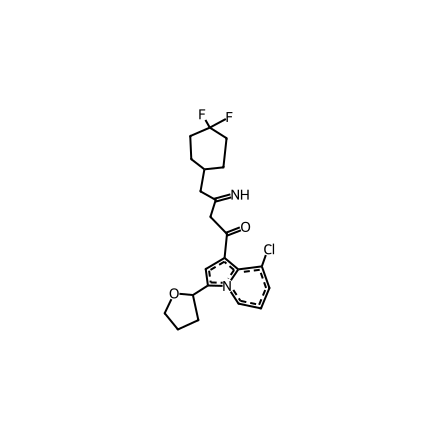 N=C(CC(=O)c1cc(C2CCCO2)n2cccc(Cl)c12)CC1CCC(F)(F)CC1